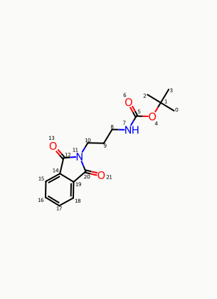 CC(C)(C)OC(=O)NCCCN1C(=O)c2ccccc2C1=O